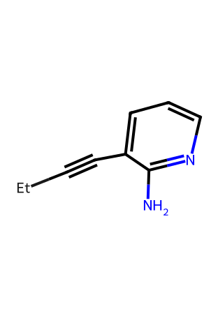 CCC#Cc1cccnc1N